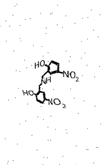 O=[N+]([O-])c1ccc(O)c(CNCc2cc([N+](=O)[O-])ccc2O)c1